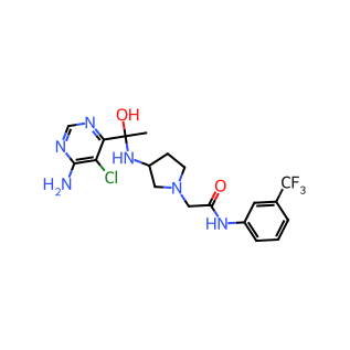 CC(O)(NC1CCN(CC(=O)Nc2cccc(C(F)(F)F)c2)C1)c1ncnc(N)c1Cl